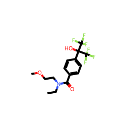 CCN(CCOC)C(=O)c1ccc(C(O)(C(F)(F)F)C(F)(F)F)cc1